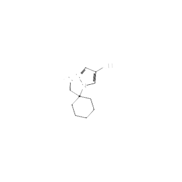 Cc1cnn(C2(CC#N)CCCCC2)c1